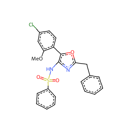 COc1cc(Cl)ccc1-c1oc(Cc2ccccc2)nc1NS(=O)(=O)c1ccccc1